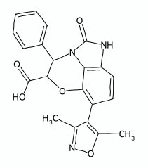 Cc1noc(C)c1-c1ccc2[nH]c(=O)n3c2c1OC(C(=O)O)C3c1ccccc1